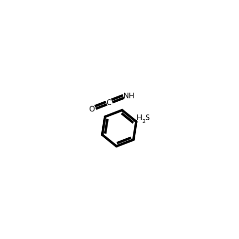 N=C=O.S.c1ccccc1